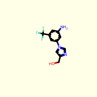 Nc1cc(-n2cnc(CO)c2)cc(C(F)(F)F)c1